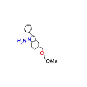 COCCOCc1ccc2c(c1)cc(-c1ccccc1)n2N